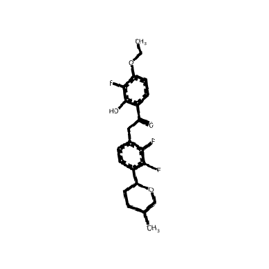 CCOc1ccc(C(=O)Cc2ccc(C3CCC(C)CO3)c(F)c2F)c(O)c1F